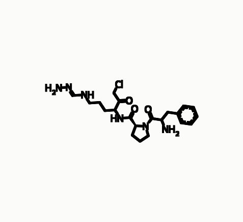 NN=CNCCCC(NC(=O)[C@@H]1CCCN1C(=O)C(N)Cc1ccccc1)C(=O)CCl